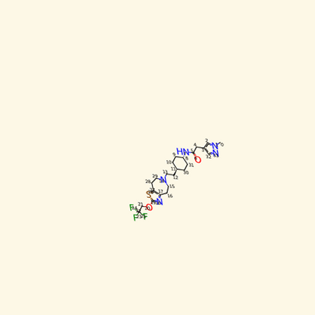 Cn1cc(CC(=O)N[C@H]2CC[C@H](CCN3CCc4nc(OCC(F)(F)F)sc4CC3)CC2)cn1